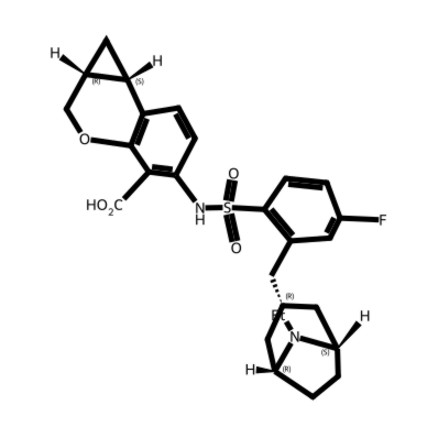 CCN1[C@@H]2CC[C@H]1C[C@@H](Cc1cc(F)ccc1S(=O)(=O)Nc1ccc3c(c1C(=O)O)OC[C@@H]1C[C@H]31)C2